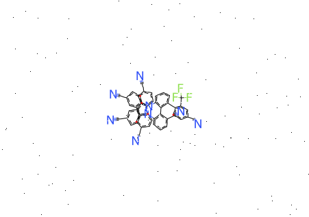 N#Cc1ccc(-c2cccc(-n3c4ccc(C#N)cc4c4cc(C#N)ccc43)c2-c2c(C#N)cccc2-n2c3ccc(C#N)cc3c3cc(C#N)ccc32)c(C(F)(F)F)c1